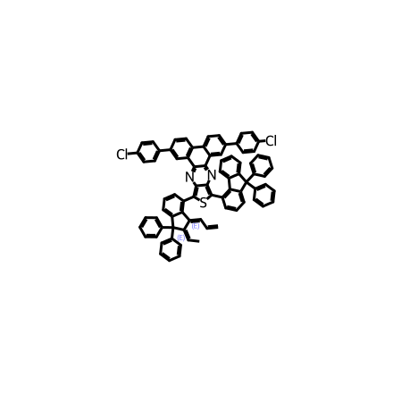 C=C/C=C1\C(=C/C)C(c2ccccc2)(c2ccccc2)c2cccc(-c3sc(-c4cccc5c4-c4ccccc4C5(c4ccccc4)c4ccccc4)c4nc5c6cc(-c7ccc(Cl)cc7)ccc6c6ccc(-c7ccc(Cl)cc7)cc6c5nc34)c21